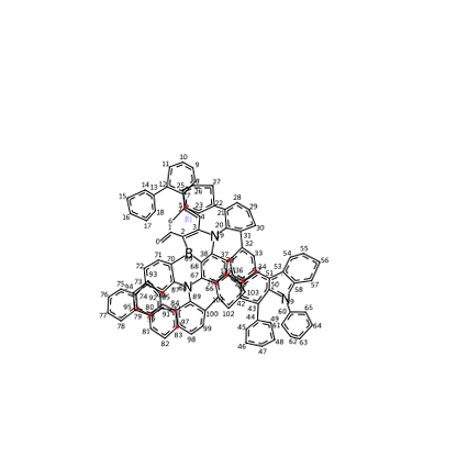 C=CC1=C(/C=C(\C)c2ccccc2-c2ccccc2)N(c2c(-c3ccccc3)cccc2-c2ccccc2)c2cc(-c3cc(-c4ccccc4)c4c(c3)c3ccccc3n4-c3ccccc3)cc3c2B1c1ccc(-c2ccccc2-c2ccccc2)cc1N3c1c(-c2ccccc2)cccc1-c1ccccc1